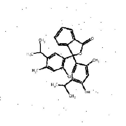 Cc1cc(C)c(C2(c3cc(C(C)C)c(O)cc3C)OC(=O)c3ccccc32)cc1C(C)C